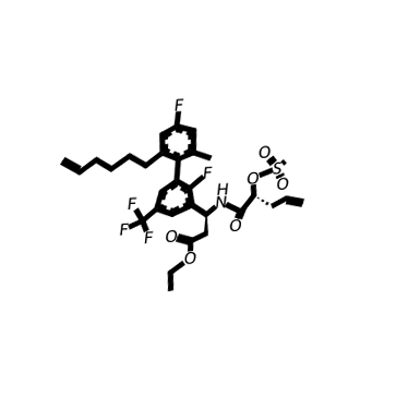 C=CCCCCc1cc(F)cc(C)c1-c1cc(C(F)(F)F)cc([C@H](CC(=O)OCC)NC(=O)[C@@H](CC=C)OS(C)(=O)=O)c1F